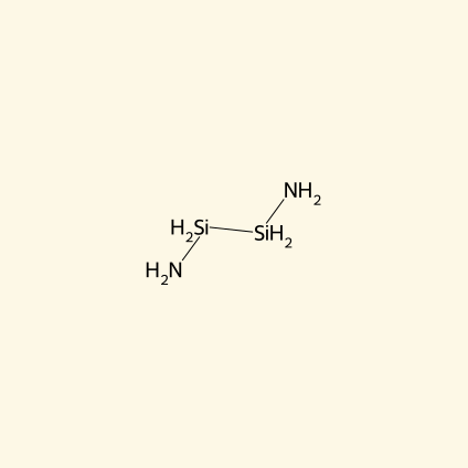 N[SiH2][SiH2]N